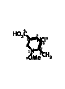 CON1CC(C(=O)O)=CC=C1C.Cl